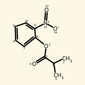 CC(C)C(=O)Oc1ccccc1[N+](=O)[O-]